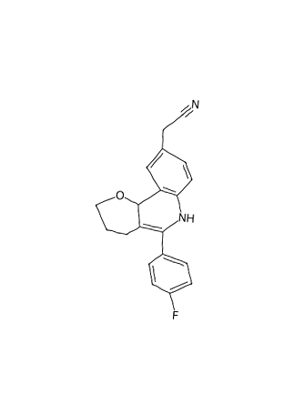 N#CCc1ccc2c(c1)C1OCCCC1=C(c1ccc(F)cc1)N2